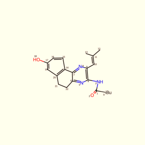 CCC(C)C(=O)Nc1nc2c(nc1C=C(C)C)-c1ccc(O)cc1CC2